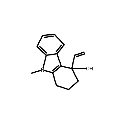 C=CC1(O)CCCc2c1c1ccccc1n2C